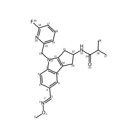 CO/N=C/c1ccc2c(c1)c1c(n2Cc2cccc(F)n2)CC(NC(=O)C(C)C)C1